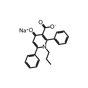 CCCn1c(-c2ccccc2)cc(=O)c(C(=O)[O-])c1-c1ccccc1.[Na+]